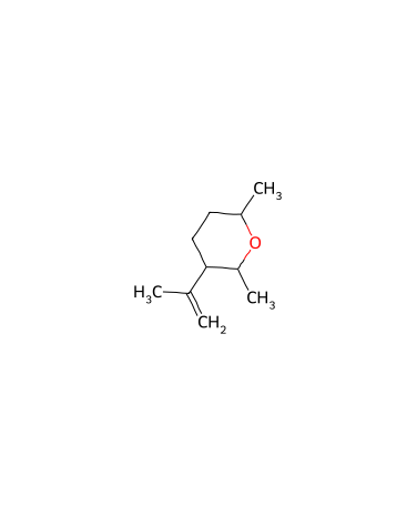 C=C(C)C1CCC(C)OC1C